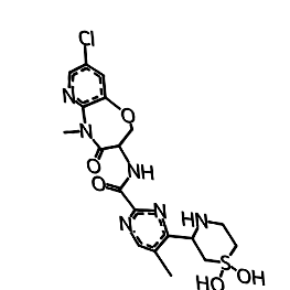 Cc1cnc(C(=O)NC2COc3cc(Cl)cnc3N(C)C2=O)nc1C1CS(O)(O)CCN1